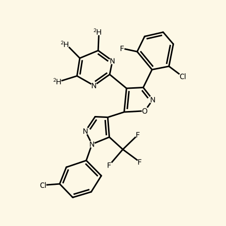 [2H]c1nc(-c2c(-c3c(F)cccc3Cl)noc2-c2cnn(-c3cccc(Cl)c3)c2C(F)(F)F)nc([2H])c1[2H]